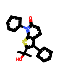 CC(C)(O)c1sc2c(ccc(=O)n2-c2ccccc2)c1-c1ccccc1